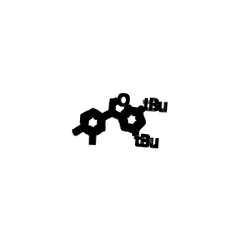 Cc1ccc(C2COc3c2cc(C(C)(C)C)cc3C(C)(C)C)cc1C